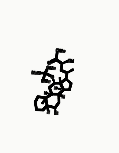 CC[C@H]1C[C@@H]2[C@H](C[C@H](OC(OC)(OC)OC)[C@]3(C)[C@@H]([C@H](C)C[C@H](O)C(=O)OC)CC[C@@H]23)[C@@]2(C)CCCC[C@@H]12